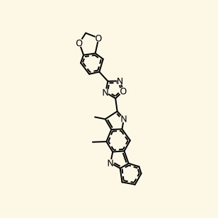 CC1=c2c(cc3c(c2C)N=c2ccccc2=3)N=C1c1nc(-c2ccc3c(c2)OCO3)no1